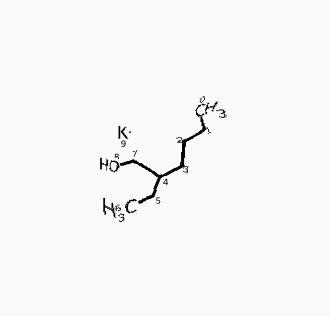 CCCCC(CC)CO.[K]